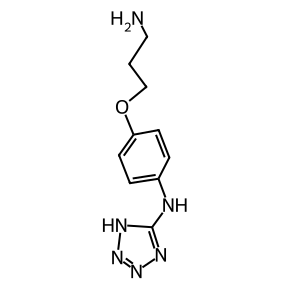 NCCCOc1ccc(Nc2nnn[nH]2)cc1